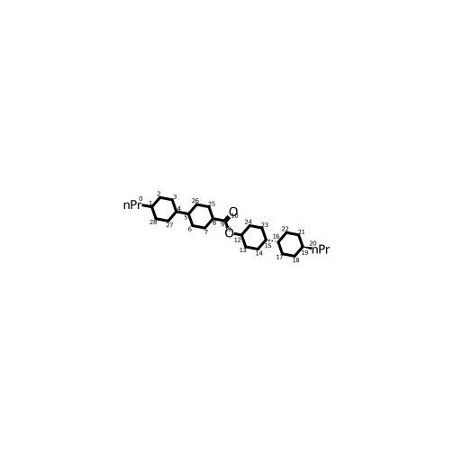 CCCC1CCC(C2CCC(C(=O)OC3CCC([C@H]4CC[C@H](CCC)CC4)CC3)CC2)CC1